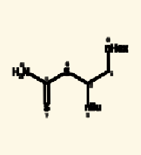 CCCCCCCC(CCCC)SC(N)=S